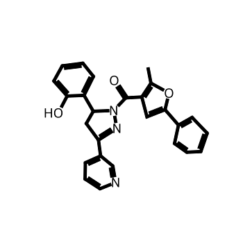 Cc1oc(-c2ccccc2)cc1C(=O)N1N=C(c2cccnc2)CC1c1ccccc1O